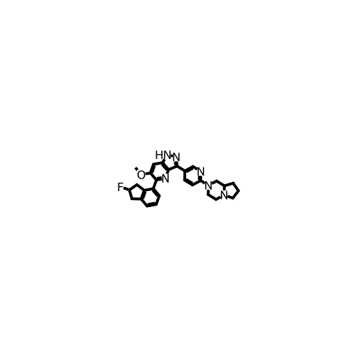 COc1cc2[nH]nc(-c3ccc(N4CCN5CCCC5C4)nc3)c2nc1-c1cccc2c1CC(F)C2